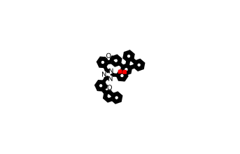 c1ccc(-c2nc(-c3cccc4c3oc3c5ccccc5ccc43)nc(-c3cccc4oc5ccc(-c6cccc7c8ccccc8c8ccccc8c67)cc5c34)n2)cc1